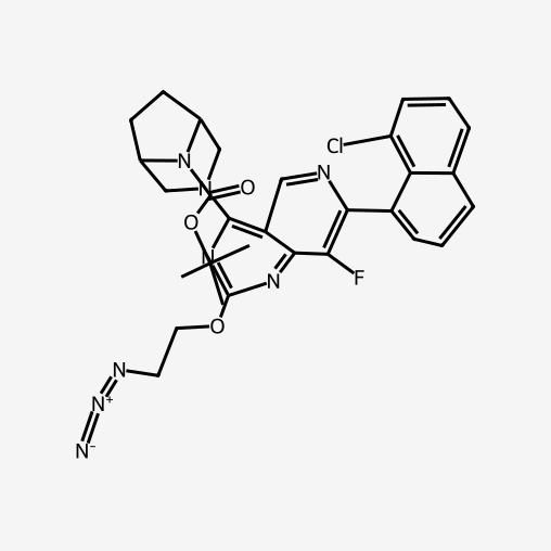 CC(C)(C)OC(=O)N1C2CCC1CN(c1nc(OCCN=[N+]=[N-])nc3c(F)c(-c4cccc5cccc(Cl)c45)ncc13)C2